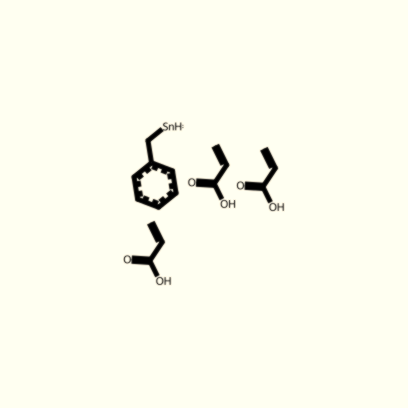 C=CC(=O)O.C=CC(=O)O.C=CC(=O)O.[SnH][CH2]c1ccccc1